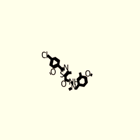 COC1=CCC(CN(C)NC(=O)c2sc(-c3ccc(Cl)cc3OC)nc2C)C=C1C